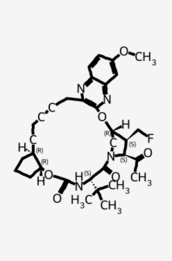 COc1ccc2nc3c(nc2c1)O[C@H]1CN(C(=O)[C@H](C(C)(C)C)NC(=O)O[C@@H]2CCC[C@H]2CCCCC3)[C@H](C(C)=O)[C@@H]1CF